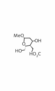 CO[C@@H]1C[C@@H](O)[C@@H](CC(=O)O)[C@H](CO)O1